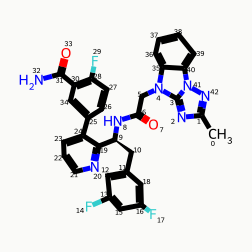 Cc1nc2n(CC(=O)N[C@@H](Cc3cc(F)cc(F)c3)c3ncccc3-c3ccc(F)c(C(N)=O)c3)c3ccccc3n2n1